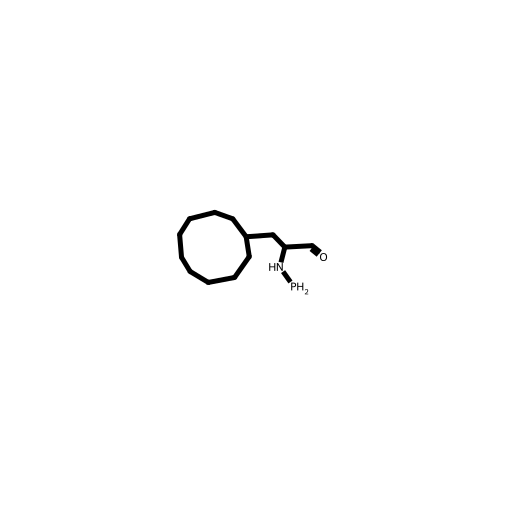 O=CC(CC1CCCCCCCCC1)NP